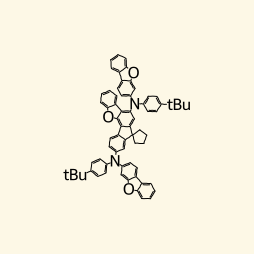 CC(C)(C)c1ccc(N(c2ccc3c(c2)C2(CCCC2)c2cc(N(c4ccc(C(C)(C)C)cc4)c4ccc5c(c4)oc4ccccc45)c4c(oc5ccccc54)c2-3)c2ccc3c(c2)oc2ccccc23)cc1